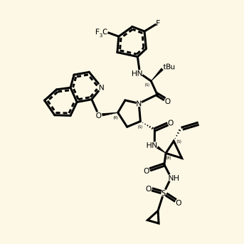 C=C[C@@H]1C[C@]1(NC(=O)[C@@H]1C[C@@H](Oc2nccc3ccccc23)CN1C(=O)[C@@H](Nc1cc(F)cc(C(F)(F)F)c1)C(C)(C)C)C(=O)NS(=O)(=O)C1CC1